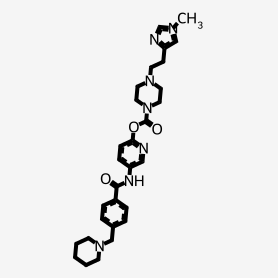 Cn1cnc(CCN2CCN(C(=O)Oc3ccc(NC(=O)c4ccc(CN5CCCCC5)cc4)cn3)CC2)c1